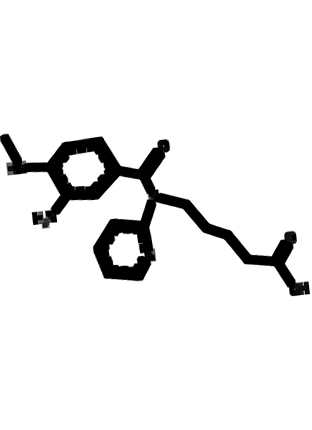 CNc1ccc(C(=O)N(CCCCC(=O)O)c2ccccn2)cc1N